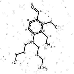 CCCCN(CCCC)c1ccc(C=O)c(CC)c1CC